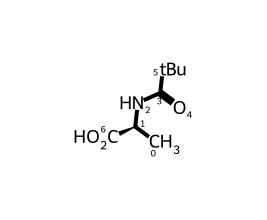 C[C@H](NC(=O)C(C)(C)C)C(=O)O